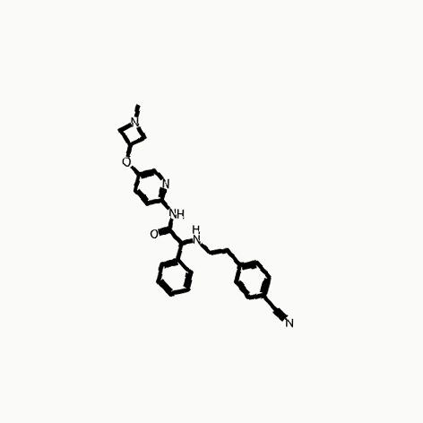 CN1CC(Oc2ccc(NC(=O)C(NCCc3ccc(C#N)cc3)c3ccccc3)nc2)C1